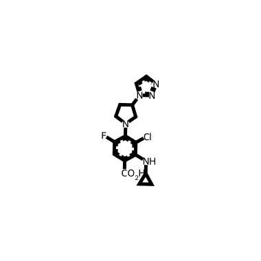 O=C(O)c1cc(F)c(N2CCC(n3ccnn3)C2)c(Cl)c1NC1CC1